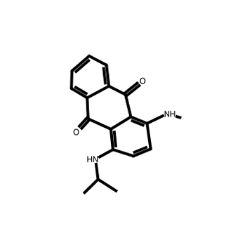 CNc1ccc(NC(C)C)c2c1C(=O)c1ccccc1C2=O